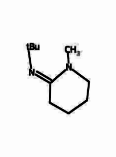 CN1CCCCC1=NC(C)(C)C